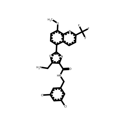 COc1ccc(-c2nc(C(=O)NCc3cc(Cl)cc(Cl)c3)c(CN)o2)c2ccc(C(F)(F)F)nc12